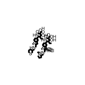 CCc1c(-c2ccc3c(c2)cc(CNCC2CCCN(C)C2)n3C)[nH]c(=O)c(C(=O)O)c1O.CCc1c(-c2ccc3c(c2)cc(CNCC2CCCN2CC)n3C)[nH]c(=O)c(C(=O)O)c1O.Cl.Cl.Cl.Cl